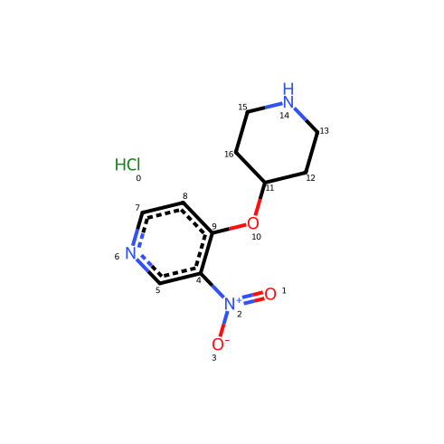 Cl.O=[N+]([O-])c1cnccc1OC1CCNCC1